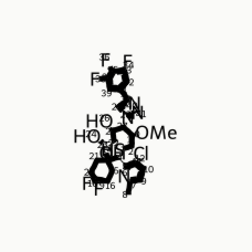 CO[C@H]1C[SH]([C@H](c2nc(C)ccc2Cl)C2(O)CCC(F)(F)CC2)[C@H](CO)[C@H](O)[C@@H]1n1cc(-c2cc(F)c(F)c(F)c2)nn1